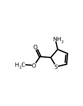 COC(=O)C1SC=CC1N